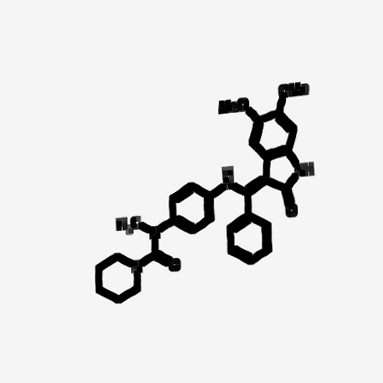 COc1cc2c(cc1OC)C(=C(Nc1ccc(N(C)C(=O)N3CCCCC3)cc1)c1ccccc1)C(=O)N2